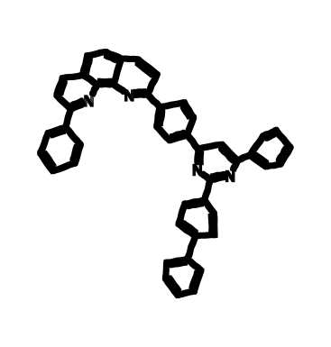 c1ccc(-c2ccc(-c3nc(-c4ccccc4)cc(-c4ccc(-c5ccc6ccc7ccc(-c8ccccc8)nc7c6n5)cc4)n3)cc2)cc1